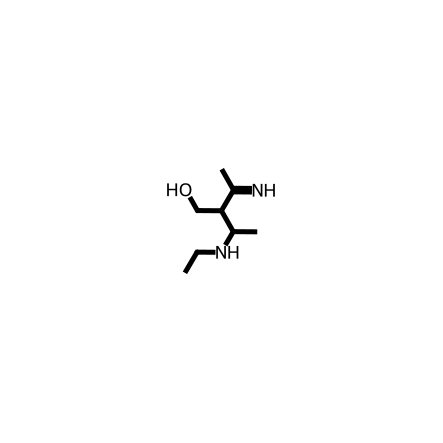 CCNC(C)C(CO)C(C)=N